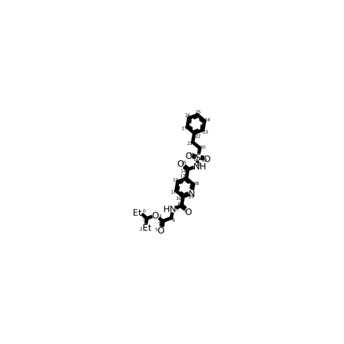 CCC(CC)OC(=O)CNC(=O)c1ccc(C(=O)NS(=O)(=O)CCc2ccccc2)cn1